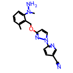 Cc1cccc(N(C)N)c1COc1ccn(-c2ccc(C#N)cn2)n1